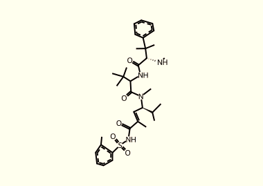 CN[C@H](C(=O)NC(C(=O)N(C)[C@H](/C=C(\C)C(=O)NS(=O)(=O)c1ccccc1C)C(C)C)C(C)(C)C)C(C)(C)c1ccccc1